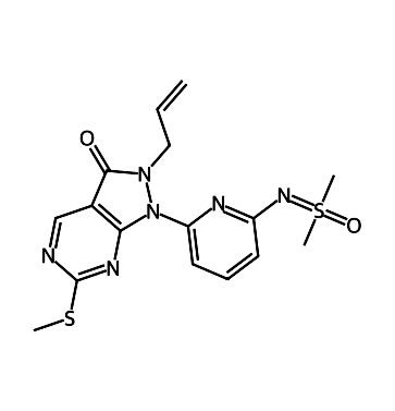 C=CCn1c(=O)c2cnc(SC)nc2n1-c1cccc(N=S(C)(C)=O)n1